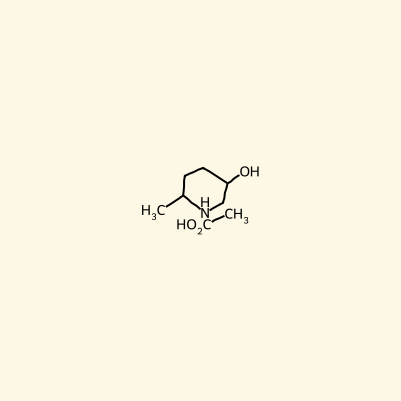 CC(=O)O.CC1CCC(O)CN1